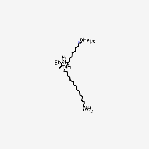 C=C(CCCCCCC/C=C/CCCCCCC)NC(CC)C(=C)NCCCCCCCCCCCCCCCN